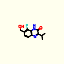 CC(C)c1nc2ccc(CO)c(F)c2[nH]c1=O